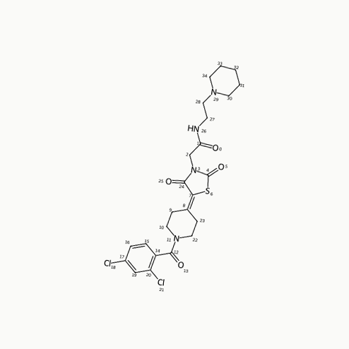 O=C(CN1C(=O)SC(=C2CCN(C(=O)c3ccc(Cl)cc3Cl)CC2)C1=O)NCCN1CCCCC1